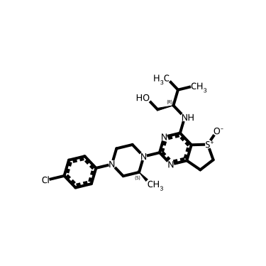 CC(C)[C@H](CO)Nc1nc(N2CCN(c3ccc(Cl)cc3)C[C@@H]2C)nc2c1[S+]([O-])CC2